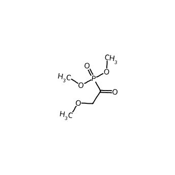 COCC(=O)P(=O)(OC)OC